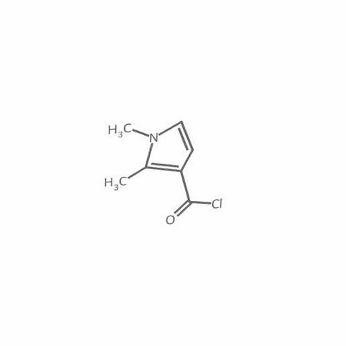 Cc1c(C(=O)Cl)ccn1C